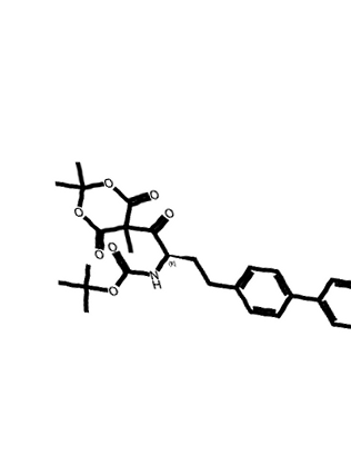 CC(C)(C)OC(=O)N[C@H](CCc1ccc(-c2ccccc2)cc1)C(=O)C1(C)C(=O)OC(C)(C)OC1=O